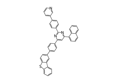 c1cncc(-c2ccc(-c3nc(-c4ccc(-c5ccc6sc7ccccc7c6c5)cc4)cc(-c4cccc5ccccc45)n3)cc2)c1